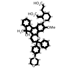 COc1cc2c3c(c4c(c2cc1N1CCCC(CCC(=O)O)C1=CC(=O)O)-c1ccccc1C4(C)C)C=CC(c1ccccc1)(c1ccc(N2CCOCC2)cc1)O3